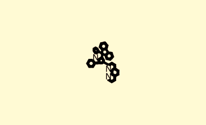 c1ccc2c(c1)-c1ccccc1C21c2ccccc2-n2c3ccccc3c3cc(-c4ccc5ccc6cccnc6c5n4)cc1c32